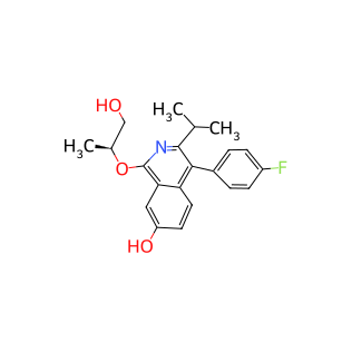 CC(C)c1nc(O[C@@H](C)CO)c2cc(O)ccc2c1-c1ccc(F)cc1